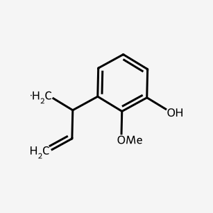 [CH2]C(C=C)c1cccc(O)c1OC